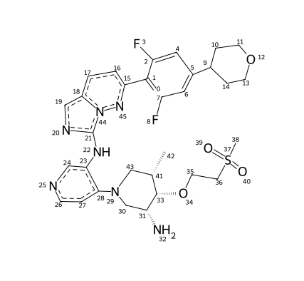 C=C(/C(F)=C\C(=C/CF)C1CCOCC1)c1ccc2cnc(Nc3cnccc3N3C[C@@H](N)[C@@H](OCCS(C)(=O)=O)[C@@H](C)C3)n2n1